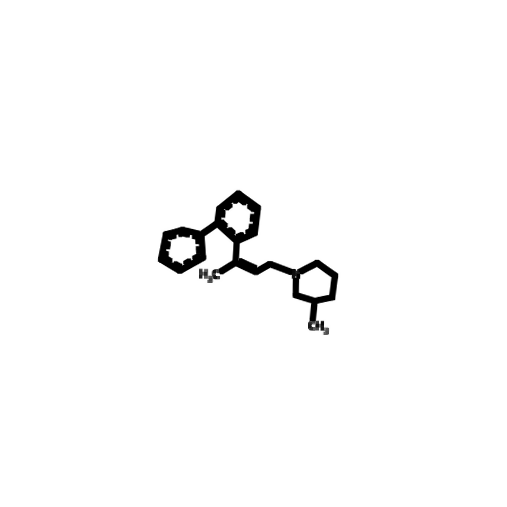 CC(=CCN1CCCC(C)C1)c1ccccc1-c1ccccc1